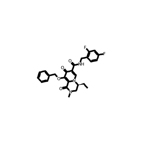 CC[C@H]1CN(C)C(=O)c2c(OCc3ccccc3)c(=O)c(C(=O)NCc3ccc(F)cc3F)cn21